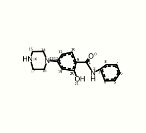 O=C(Nc1ccccc1)c1ccc(N2CCNCC2)cc1O